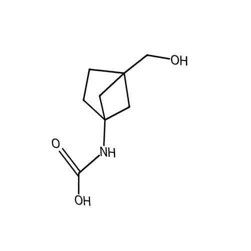 O=C(O)NC12CCC(CO)(C1)C2